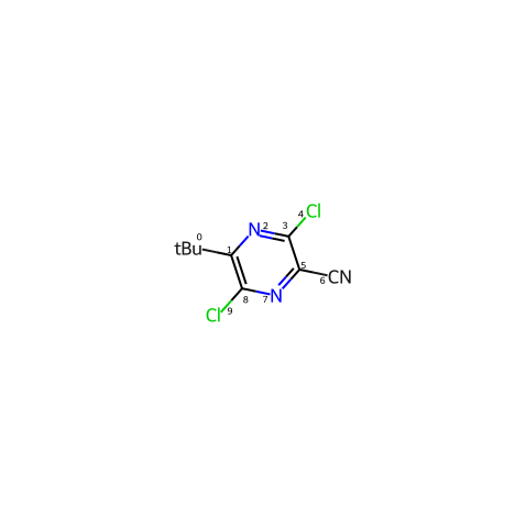 CC(C)(C)c1nc(Cl)c(C#N)nc1Cl